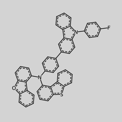 Fc1ccc(-n2c3ccccc3c3cc(-c4ccc(N(c5cccc6oc7ccccc7c56)c5cccc6sc7ccccc7c56)cc4)ccc32)cc1